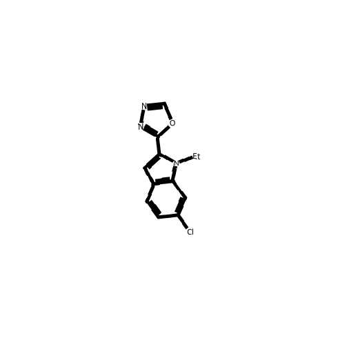 CCn1c(-c2nnco2)cc2ccc(Cl)cc21